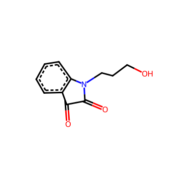 O=C1C(=O)N(CCCO)c2ccccc21